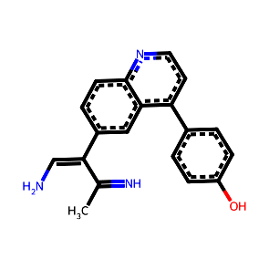 CC(=N)/C(=C\N)c1ccc2nccc(-c3ccc(O)cc3)c2c1